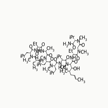 C/C=C/C[C@@H](C)[C@H](O)C(C(=O)N[C@H](CC)C(=O)N(C)CC(=O)N(C)[C@H](C(N)=O)C(C)C)N(C)C(=O)[C@H](C(C)C)N(C)C(=O)[C@@H](CC(C)C)N(C)C(=O)[C@@H](CC(C)C)N(C)C(=O)[C@H](C)NC(=O)C(CC)NC(=O)[C@H](CC(C)C)N(C)C(=O)[C@H](C)C(C)C